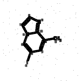 Cc1cc(I)cn2ccnc12